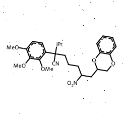 COc1ccc(C(C#N)(CCCC(CC2COc3ccccc3O2)[N+](=O)[O-])C(C)C)c(OC)c1OC